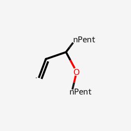 [CH]=CC(CCCCC)OCCCCC